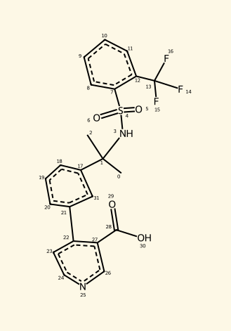 CC(C)(NS(=O)(=O)c1ccccc1C(F)(F)F)c1cccc(-c2ccncc2C(=O)O)c1